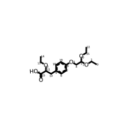 CCOC(COc1ccc(CC(OCC)C(=O)O)cc1)OCC